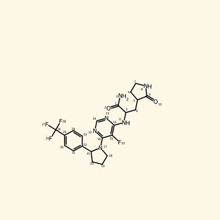 NC(=O)C(CC1CCNC1=O)Nc1ncnc(N2CCCC2c2ccc(C(F)(F)F)cc2)c1F